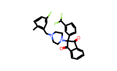 Cc1ccc(F)cc1CN1CCN(C2(c3cccc(C(F)F)c3)C(=O)c3ccccc3C2=O)CC1